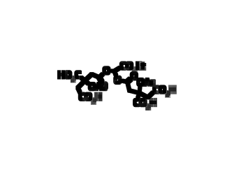 CCOC(=O)C(OC(=O)CC(CC(=O)O)(OC(C)=O)C(=O)O)OC(=O)CC(CC(=O)O)(OC(C)=O)C(=O)O